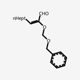 CCCCCCCC=C(C=O)OCOCc1ccccc1